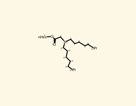 CCCCCCOC(=O)CN(CCCCCC(C)C)CCCCCC(C)C